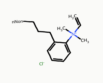 C=C[N+](C)(C)c1ccccc1CCCCCCCCCCCC.[Cl-]